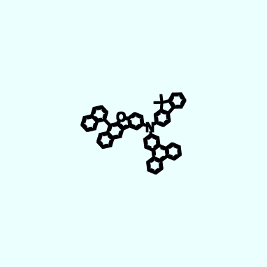 CC1(C)c2ccccc2-c2ccc(N(c3ccc4oc5c(-c6cccc7ccccc67)c6ccccc6cc5c4c3)c3ccc4c5ccccc5c5ccccc5c4c3)cc21